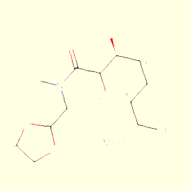 CO[C@@H](C)[C@@H]1OC(C(=O)N(C)CC2OCCO2)[C@@H](O)[C@H](O)[C@@H]1O